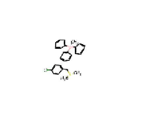 C[B-](c1ccccc1)(c1ccccc1)c1ccccc1.C[S+](C)Cc1ccc(Cl)cc1